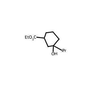 CCOC(=O)C1CCCC(O)(C(C)C)C1